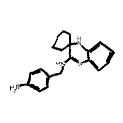 Nc1ccc(CNC2=Nc3ccccc3NC23CCCCC3)cc1